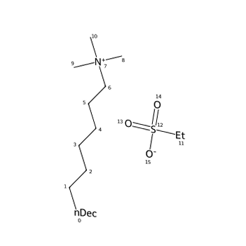 CCCCCCCCCCCCCCCC[N+](C)(C)C.CCS(=O)(=O)[O-]